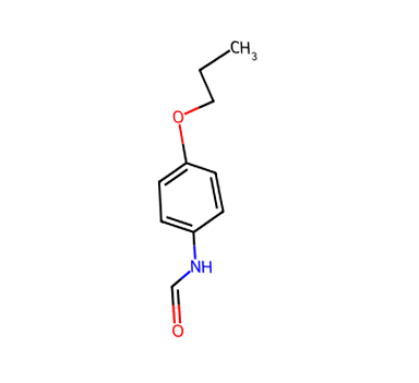 CCCOc1ccc(NC=O)cc1